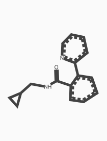 O=C(NCC1CC1)c1ccccc1-c1ccccn1